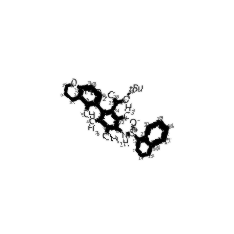 Cc1c(-c2c(C)c(C)c(N[S+]([O-])c3cccc4ccccc34)c(C)c2C(OC(C)(C)C)C(=O)O)ccc2c1CCCO2